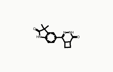 CC1(C)C(=O)Nc2ccc(C3=NNC(=O)C4CCC34)cc21